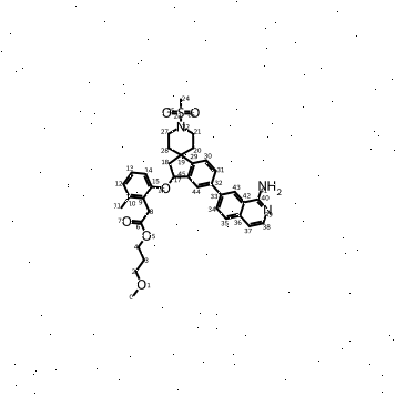 COCCCOC(=O)Cc1c(C)cccc1OC1CC2(CCN(S(C)(=O)=O)CC2)c2ccc(-c3ccc4ccnc(N)c4c3)cc21